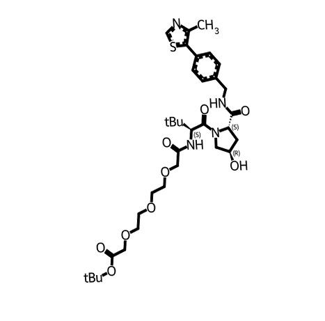 Cc1ncsc1-c1ccc(CNC(=O)[C@@H]2C[C@@H](O)CN2C(=O)[C@@H](NC(=O)COCCOCCOCC(=O)OC(C)(C)C)C(C)(C)C)cc1